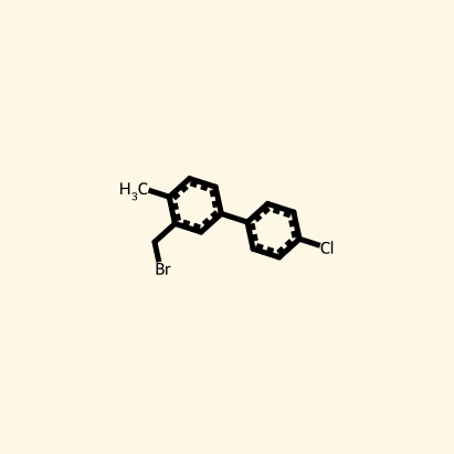 Cc1ccc(-c2ccc(Cl)cc2)cc1CBr